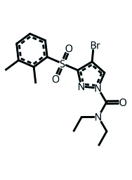 CCN(CC)C(=O)n1cc(Br)c(S(=O)(=O)c2cccc(C)c2C)n1